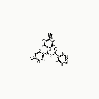 Cc1ccc([C@@H](CC(=O)c2ccnnc2)c2ccc(Br)cc2)cc1